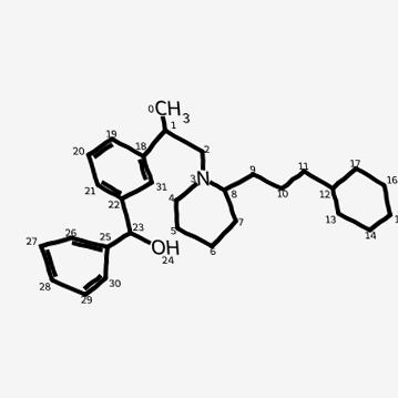 CC(CN1CCCCC1CCCC1CCCCC1)c1cccc(C(O)c2ccccc2)c1